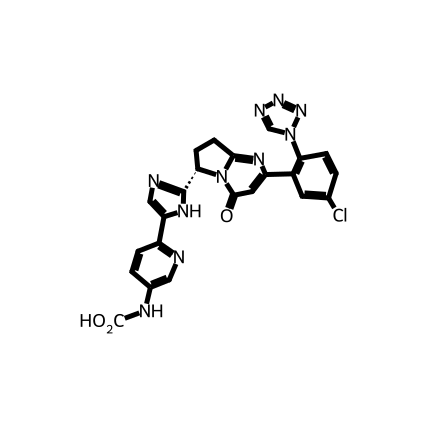 O=C(O)Nc1ccc(-c2cnc([C@@H]3CCc4nc(-c5cc(Cl)ccc5-n5cnnn5)cc(=O)n43)[nH]2)nc1